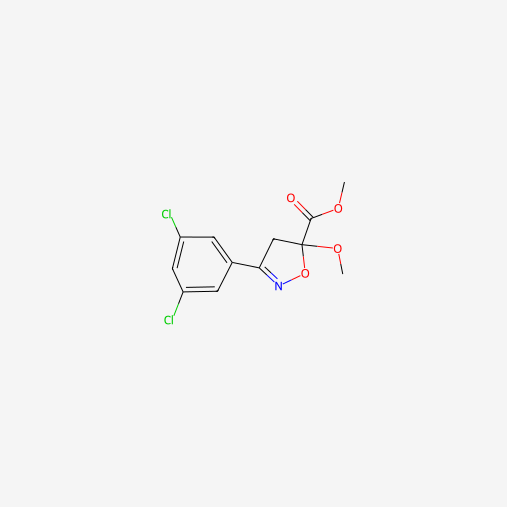 COC(=O)C1(OC)CC(c2cc(Cl)cc(Cl)c2)=NO1